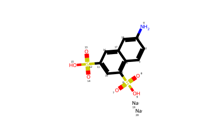 Nc1ccc2c(S(=O)(=O)O)cc(S(=O)(=O)O)cc2c1.[Na].[Na]